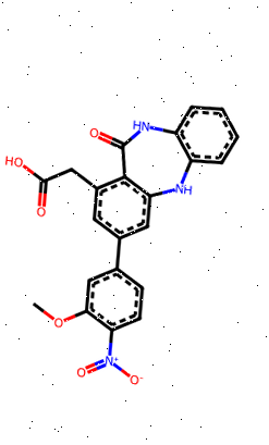 COc1cc(-c2cc(CC(=O)O)c3c(c2)Nc2ccccc2NC3=O)ccc1[N+](=O)[O-]